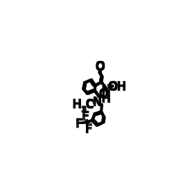 CN(Cc1cccc(C(F)(F)F)c1)C(=O)c1ccccc1/C(=C\C=O)NO